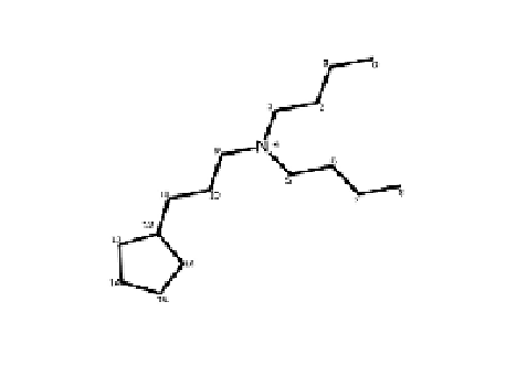 CCCCN(CCCC)CCCC1CCCC1